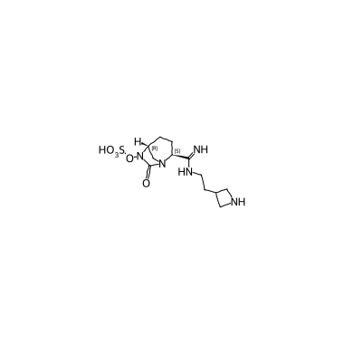 N=C(NCCC1CNC1)[C@@H]1CC[C@@H]2CN1C(=O)N2OS(=O)(=O)O